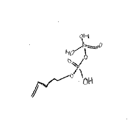 C=CCCOP(=O)(O)OP(=O)(O)O